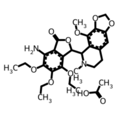 CC(=O)O.CCOc1c(N)c2c(c(OCC)c1OCC)C(C1c3c(cc4c(c3OC)OCO4)CCN1C)OC2=O